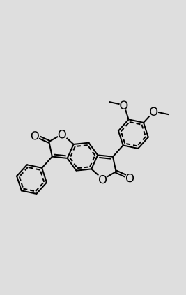 COc1ccc(C2=c3cc4c(cc3OC2=O)=C(c2ccccc2)C(=O)O4)cc1OC